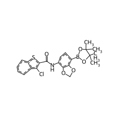 CC1(C)OB(c2ccc(NC(=O)c3sc4ccccc4c3Cl)c3c2OCO3)OC1(C)C